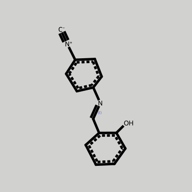 [C-]#[N+]c1ccc(/N=C/c2ccccc2O)cc1